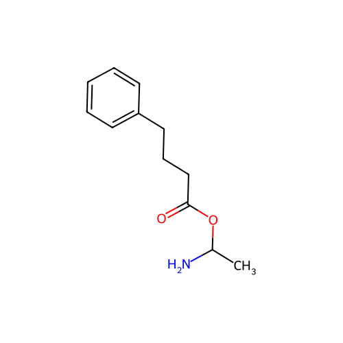 CC(N)OC(=O)CCCc1ccccc1